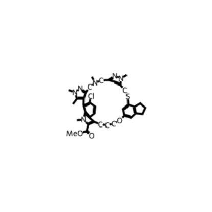 COC(=O)c1c2c3ccc(Cl)c(c3n1C)-c1c(nn(C)c1C)CN(C)Cc1cc(n(C)n1)CSc1cc(cc3c1CCC3)OCCC2